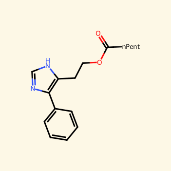 CCCCCC(=O)OCCc1[nH]cnc1-c1ccccc1